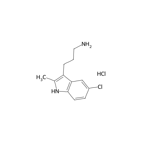 Cc1[nH]c2ccc(Cl)cc2c1CCCN.Cl